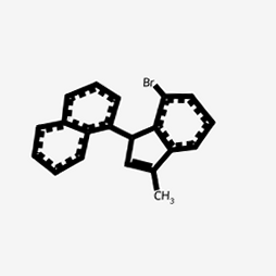 CC1=CC(c2cccc3ccccc23)c2c(Br)cccc21